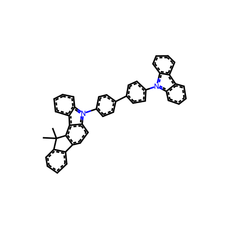 CC1(C)c2ccccc2-c2ccc3c(c21)c1ccccc1n3-c1ccc(-c2ccc(-n3c4ccccc4c4ccccc43)cc2)cc1